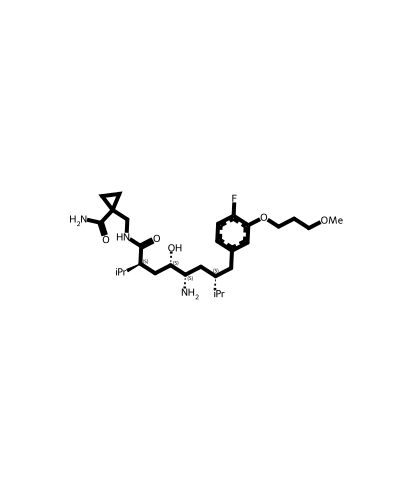 COCCCOc1cc(C[C@@H](C[C@H](N)[C@@H](O)C[C@H](C(=O)NCC2(C(N)=O)CC2)C(C)C)C(C)C)ccc1F